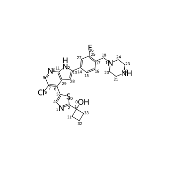 OC1(c2ncc(-c3c(Cl)cnc4[nH]c(-c5ccc(CN6CCNCC6)c(F)c5)cc34)s2)CCC1